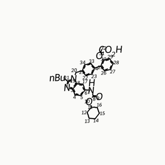 CCCCc1nc2ccc(NC(=O)OC3CCCCC3)cc2n1Cc1ccc(-c2ccccc2OC(=O)O)cc1